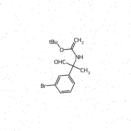 C=C(NC(C)(C=O)c1cccc(Br)c1)OC(C)(C)C